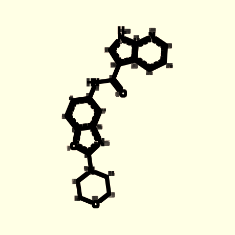 O=C(Nc1ccc2oc(N3CCOCC3)nc2c1)c1c[nH]c2ncccc12